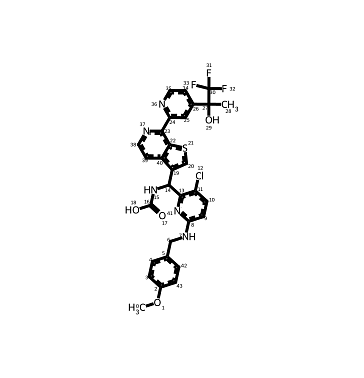 COc1ccc(CNc2ccc(Cl)c(C(NC(=O)O)c3csc4c(-c5cc(C(C)(O)C(F)(F)F)ccn5)nccc34)n2)cc1